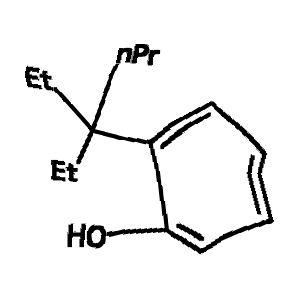 CCCC(CC)(CC)c1ccccc1O